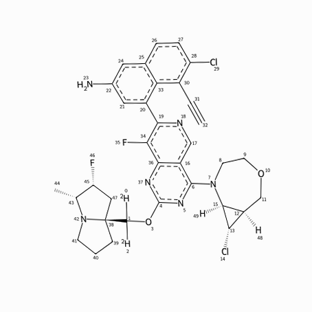 [2H]C([2H])(Oc1nc(N2CCOC[C@H]3[C@H](Cl)[C@H]32)c2cnc(-c3cc(N)cc4ccc(Cl)c(C#C)c34)c(F)c2n1)[C@@]12CCCN1[C@H](C)[C@H](F)C2